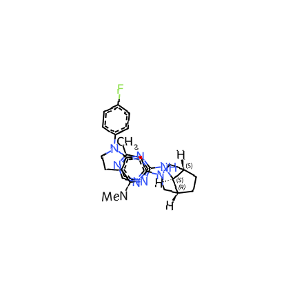 CNc1nc(N[C@@H]2[C@@H]3CC[C@H]2CN(c2cc(C)ncn2)C3)nc2c1CCN2c1ccc(F)cc1